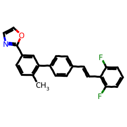 Cc1ccc(-c2ncco2)cc1-c1ccc(C=Cc2c(F)cccc2F)cc1